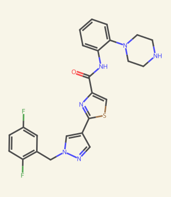 O=C(Nc1ccccc1N1CCNCC1)c1csc(-c2cnn(Cc3cc(F)ccc3F)c2)n1